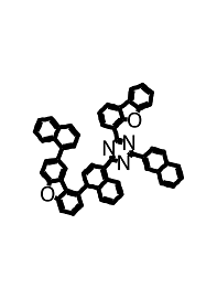 C1=CC2=C(c3nc(C4=CC5C=CC=CC5C=C4)nc(-c4cccc5c4oc4ccccc45)n3)C=CC(c3cccc4oc5ccc(-c6cccc7ccccc67)cc5c34)C2C=C1